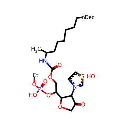 CCCCCCCCCCCCCCCCC(C)NC(=O)OCC(OP(=O)(O)OCC)C1OCC(=O)C1[n+]1ccsc1.[OH-]